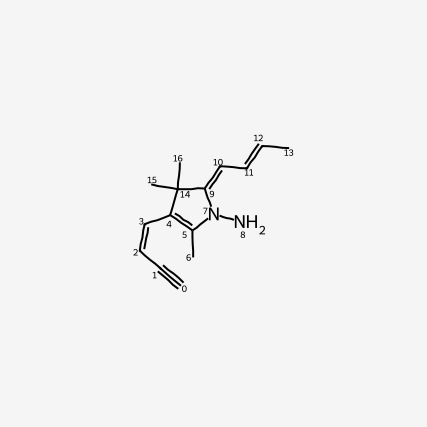 C#C/C=C\C1=C(C)N(N)C(=CC=CC)C1(C)C